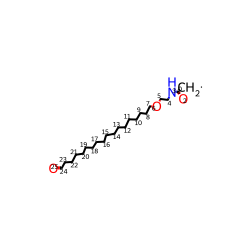 [CH2]C(=O)NCCOCCCCCCCCCCCCCCCCCC=O